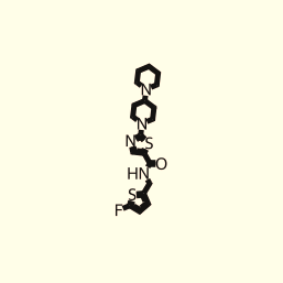 O=C(NCc1ccc(F)s1)c1cnc(N2CCC(N3CCCCC3)CC2)s1